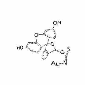 O=C1OC2(c3ccc(O)cc3Oc3cc(O)ccc32)c2ccccc21.S=C=[N][Au]